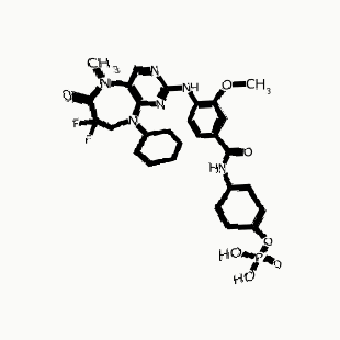 COc1cc(C(=O)NC2CCC(OP(=O)(O)O)CC2)ccc1Nc1ncc2c(n1)N(C1CCCCC1)CC(F)(F)C(=O)N2C